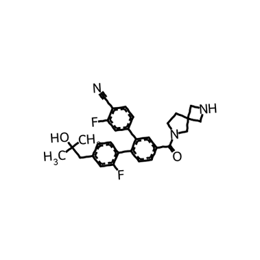 CC(C)(O)Cc1ccc(-c2ccc(C(=O)N3CCC4(CNC4)C3)cc2-c2ccc(C#N)c(F)c2)c(F)c1